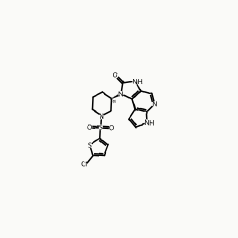 O=c1[nH]c2cnc3[nH]ccc3c2n1[C@@H]1CCCN(S(=O)(=O)c2ccc(Cl)s2)C1